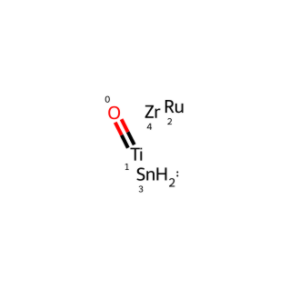 [O]=[Ti].[Ru].[SnH2].[Zr]